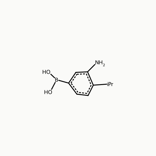 CC(C)c1ccc(B(O)O)cc1N